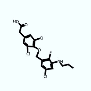 CCCNc1cc(Cl)cc(COc2c(Cl)cc(CC(=O)O)cc2Cl)c1F